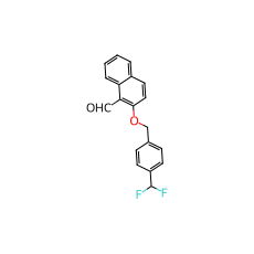 O=Cc1c(OCc2ccc(C(F)F)cc2)ccc2ccccc12